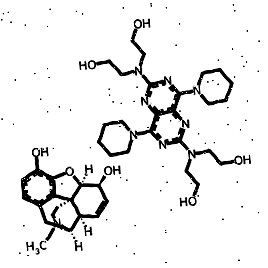 CN1CC[C@]23c4c5ccc(O)c4O[C@H]2[C@@H](O)C=C[C@H]3[C@H]1C5.OCCN(CCO)c1nc(N2CCCCC2)c2nc(N(CCO)CCO)nc(N3CCCCC3)c2n1